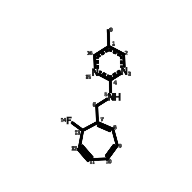 Cc1cnc(NCC2=CC=CC#CC2F)nc1